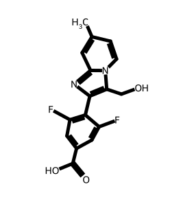 Cc1ccn2c(CO)c(-c3c(F)cc(C(=O)O)cc3F)nc2c1